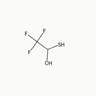 OC(S)C(F)(F)F